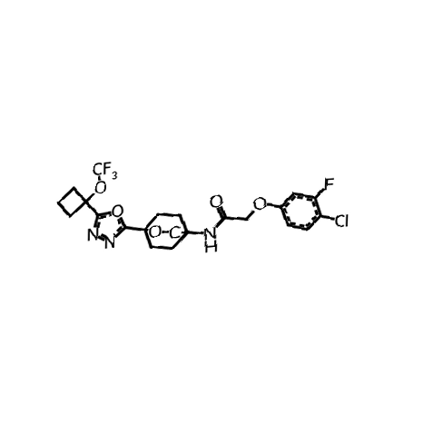 O=C(COc1ccc(Cl)c(F)c1)NC12CCC(c3nnc(C4(OC(F)(F)F)CCC4)o3)(CC1)OC2